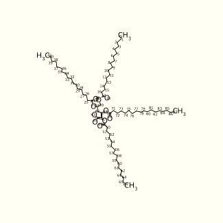 CCCCCCCCCCCCCCCCCC(=O)OC[C@H](OC(=O)CCCCCCCCCCCCCCCCC)[C@H]1OC(=O)C(OC(=O)CCCCCCCCCCCCCCCCC)=C1OC(=O)CCCCCCCCCCCCCCCCC